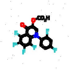 O=C(O)Oc1cn(-c2ccc(F)cc2F)c2c(F)c(F)c(F)c(F)c2c1=O